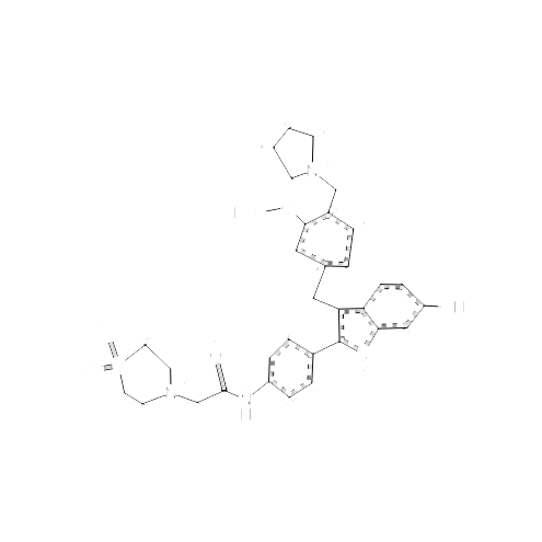 COc1cc(Cc2c(-c3ccc(NC(=O)CN4CCS(=O)(=O)CC4)cc3)sc3cc(O)ccc23)ccc1CN1CCCC1